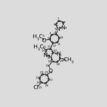 COc1cc(-n2cccn2)ccc1-c1c(C)nn2c(COc3ccc(Cl)cc3)cc(C)nc12